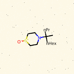 CCCCCCC(C)(CCC)N1CC[S+]([O-])CC1